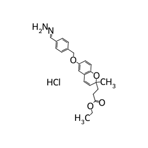 CCOC(=O)CCC1(C)C=Cc2cc(OCc3ccc(C=NN)cc3)ccc2O1.Cl